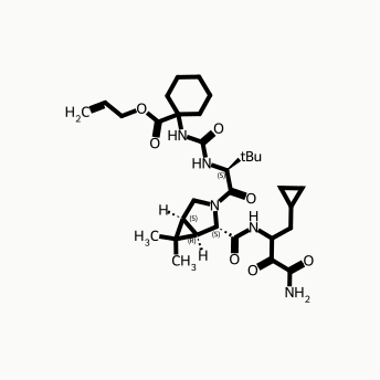 C=CCOC(=O)C1(NC(=O)N[C@H](C(=O)N2C[C@H]3[C@@H]([C@H]2C(=O)NC(CC2CC2)C(=O)C(N)=O)C3(C)C)C(C)(C)C)CCCCC1